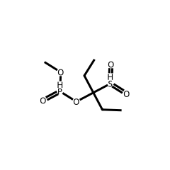 CCC(CC)(O[PH](=O)OC)[SH](=O)=O